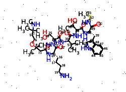 CNC(C)(C)CCOC(C)(C)CC(=O)N[C@@H](CCCCN)C(=O)N[C@@H](CO)C(=O)NC(C(=O)N[C@H](C(=O)N[C@@H](Cc1c[nH]c2ccccc12)C(=O)NSC)[C@@H](C)O)C(C)C